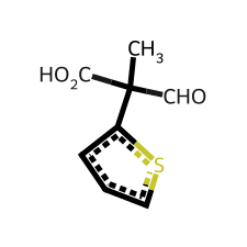 CC(C=O)(C(=O)O)c1cccs1